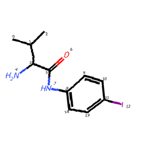 CC(C)C(N)C(=O)Nc1ccc(I)cc1